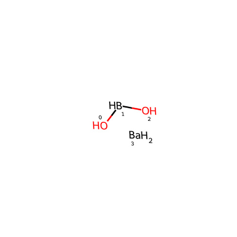 OBO.[BaH2]